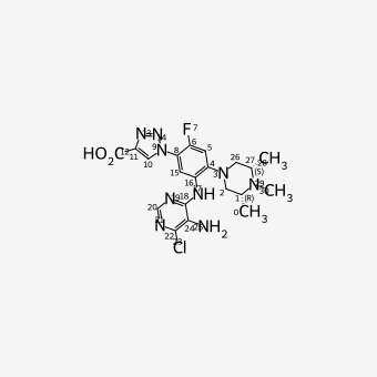 C[C@@H]1CN(c2cc(F)c(-n3cc(C(=O)O)nn3)cc2Nc2ncnc(Cl)c2N)C[C@H](C)N1C